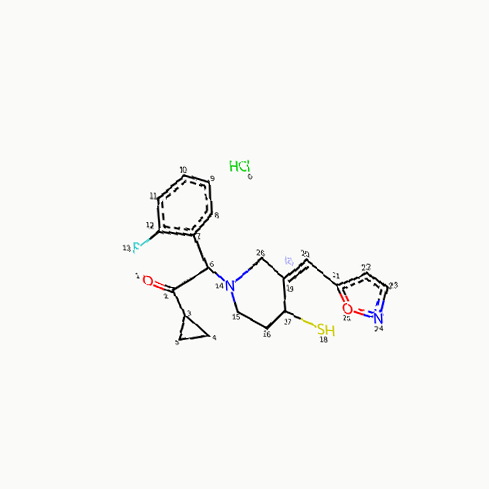 Cl.O=C(C1CC1)C(c1ccccc1F)N1CCC(S)/C(=C\c2ccno2)C1